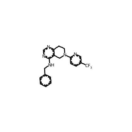 FC(F)(F)c1ccc(N2CCc3ncnc(NCc4ccccc4)c3C2)nc1